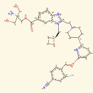 N#Cc1ccc(COc2cccc(C3CCN(Cc4nc5ccc(C(=O)OCC(N)(CO)CO)cc5n4C[C@@H]4CCO4)CC3)n2)c(F)c1